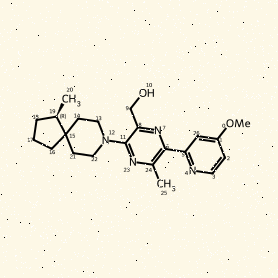 COc1ccnc(-c2nc(CO)c(N3CCC4(CCC[C@H]4C)CC3)nc2C)c1